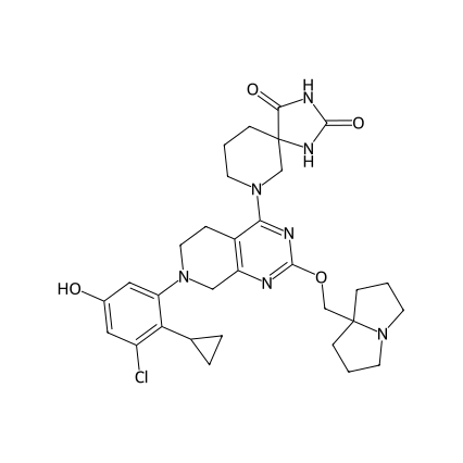 O=C1NC(=O)C2(CCCN(c3nc(OCC45CCCN4CCC5)nc4c3CCN(c3cc(O)cc(Cl)c3C3CC3)C4)C2)N1